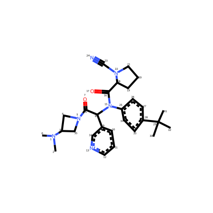 CN(C)C1CN(C(=O)C(c2cccnc2)N(C(=O)C2CCCN2C#N)c2ccc(C(C)(C)C)cc2)C1